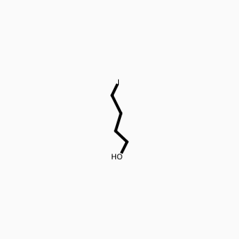 OCCCCI